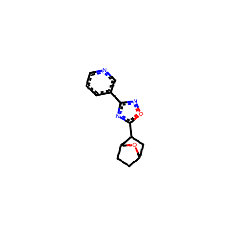 c1cncc(-c2noc(C3CC4CCC3O4)n2)c1